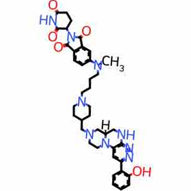 CN(CCCCN1CCC(CN2CCN3c4cc(-c5ccccc5O)nnc4NC[C@H]3C2)CC1)c1ccc2c(c1)C(=O)N(C1CCC(=O)NC1=O)C2=O